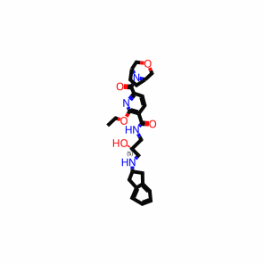 CCOc1nc(C(=O)N2C3CCC2COC3)ccc1C(=O)NC[C@@H](O)CNC1Cc2ccccc2C1